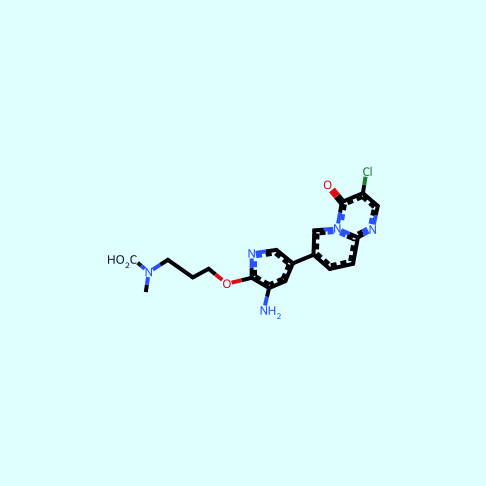 CN(CCCOc1ncc(-c2ccc3ncc(Cl)c(=O)n3c2)cc1N)C(=O)O